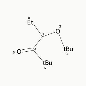 CCC(OC(C)(C)C)C(=O)C(C)(C)C